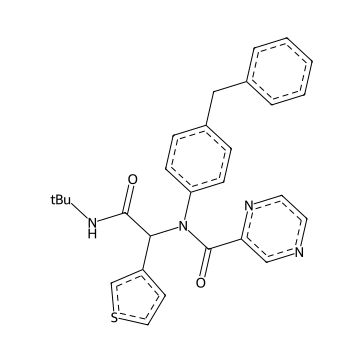 CC(C)(C)NC(=O)C(c1ccsc1)N(C(=O)c1cnccn1)c1ccc(Cc2ccccc2)cc1